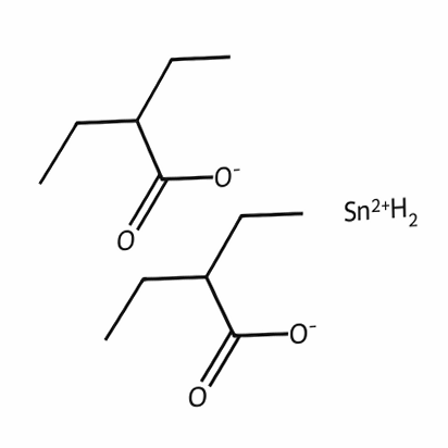 CCC(CC)C(=O)[O-].CCC(CC)C(=O)[O-].[SnH2+2]